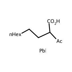 CCCCCCCCC(C(C)=O)C(=O)O.[Pb]